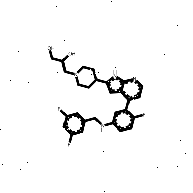 OCC(O)CN1CCC(c2cc3c(-c4cc(NCc5cc(F)cc(F)c5)ccc4F)ccnc3[nH]2)CC1